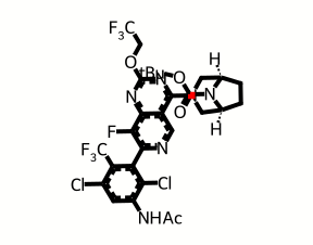 CC(=O)Nc1cc(Cl)c(C(F)(F)F)c(-c2ncc3c(N4C[C@H]5CC[C@@H](C4)N5C(=O)OC(C)(C)C)nc(OCC(F)(F)F)nc3c2F)c1Cl